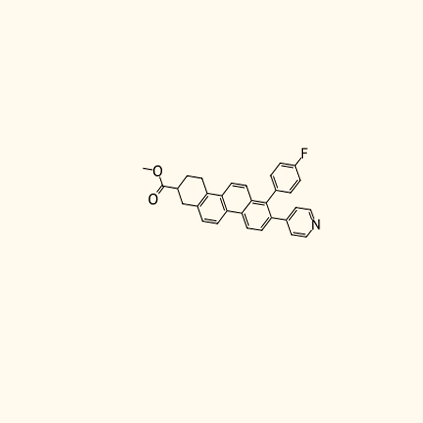 COC(=O)C1CCc2c(ccc3c2ccc2c(-c4ccc(F)cc4)c(-c4ccncc4)ccc23)C1